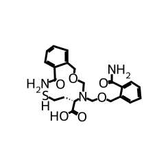 NC(=O)c1ccccc1COCN(COCc1ccccc1C(N)=O)[C@@H](CCS)C(=O)O